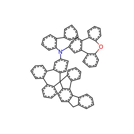 c1ccc(-c2ccccc2N(c2ccc3c(c2)-c2ccccc2Oc2ccccc2-3)c2ccc3c(c2)-c2ccccc2-c2ccccc2C32c3ccccc3-c3c2ccc2c3-c3ccccc3C2)cc1